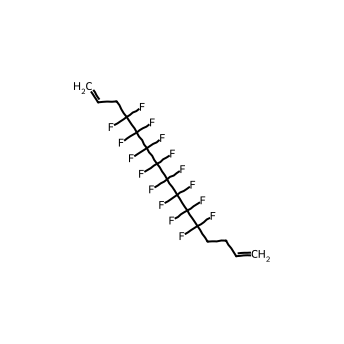 C=CCCC(F)(F)C(F)(F)C(F)(F)C(F)(F)C(F)(F)C(F)(F)C(F)(F)C(F)(F)CC=C